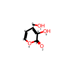 CO.O=c1occcc1O